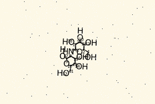 OC[C@H]1OC(N[C@H]2C(O)O[C@H](CO)[C@@H](O)[C@@H]2O)[C@H](O)[C@@H](O)[C@H]1O